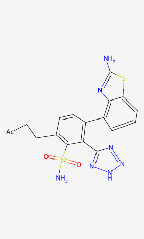 CC(=O)CCc1ccc(-c2cccc3sc(N)nc23)c(-c2nn[nH]n2)c1S(N)(=O)=O